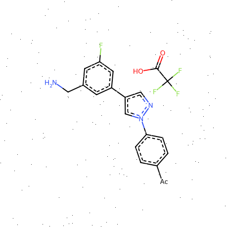 CC(=O)c1ccc(-n2cc(-c3cc(F)cc(CN)c3)cn2)cc1.O=C(O)C(F)(F)F